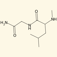 CNC(CC(C)C)C(=O)NCC(N)=O